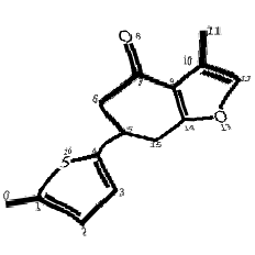 Cc1ccc(C2CC(=O)c3c(C)coc3C2)s1